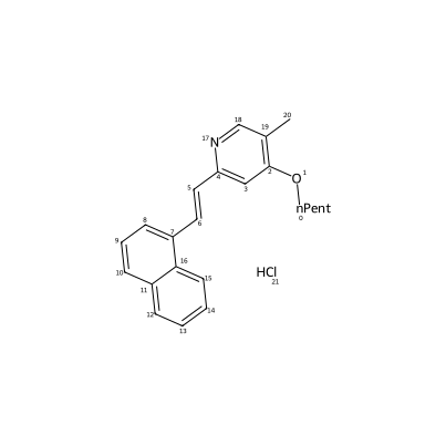 CCCCCOc1cc(/C=C/c2cccc3ccccc23)ncc1C.Cl